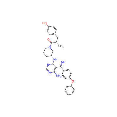 C[C@@H](Cc1ccc(O)cc1)C(=O)N1CCC[C@@H](Nc2ncnc(N)c2C(=N)c2ccc(Oc3ccccc3)cc2)C1